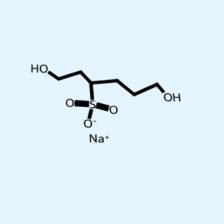 O=S(=O)([O-])C(CCO)CCCO.[Na+]